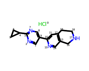 Cl.c1nc(C2CC2)ncc1-c1cc2c(cn1)CNCC2